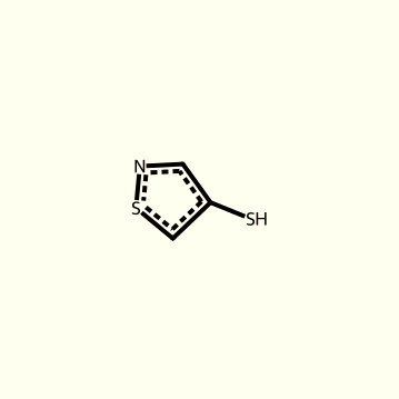 Sc1cnsc1